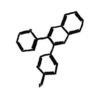 Fc1ccc(-c2cc3ccccc3cc2-c2bcccc2)cc1